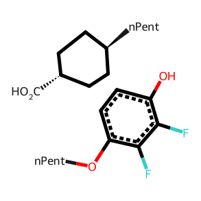 CCCCCOc1ccc(O)c(F)c1F.CCCCC[C@H]1CC[C@H](C(=O)O)CC1